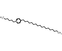 CCCCCCCCCCCCCCCCCCc1cc[n+](CCCCCC)cc1